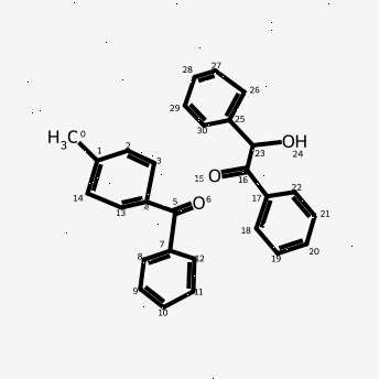 Cc1ccc(C(=O)c2ccccc2)cc1.O=C(c1ccccc1)C(O)c1ccccc1